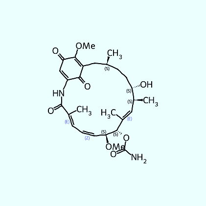 COC1=C2C[C@@H](C)CC[C@H](O)[C@@H](C)/C=C(\C)[C@H](OC(N)=O)[C@@H](OC)/C=C\C=C(/C)C(=O)NC(=CC1=O)C2=O